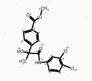 COC(=O)c1ccc(C(C)(O)C(=O)Nc2ccc(Cl)c(Cl)c2)cc1